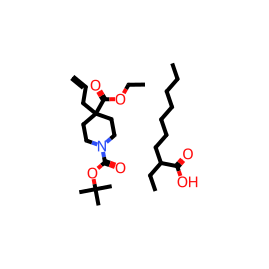 C=CCC1(C(=O)OCC)CCN(C(=O)OC(C)(C)C)CC1.CCCCCCCC(CC)C(=O)O